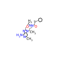 CCOCc1nc2c(N)nc(C)cc2n1C(C)CCNC(=O)C1CC1c1ccccc1